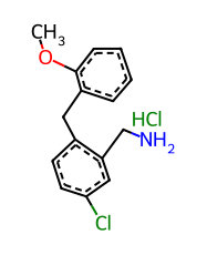 COc1ccccc1Cc1ccc(Cl)cc1CN.Cl